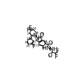 O=C(NNC(=O)C(F)F)c1ccc2c(c1)C(=O)N(N1CCC(F)(F)CC1c1cccc(F)c1)C2